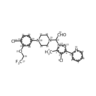 Cc1c(Cl)c(-c2ccccn2)nn1C(C=O)N1CCN(c2ccc(Cl)c(OCC(F)(F)F)c2)CC1